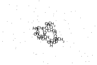 CNc1ccn(-c2ccnc3c2cc([C@H](C)N2CC=C(c4c(C)cc(C(=O)N(C)c5ccc(C6CCN(Cc7ccc8c(c7)n(C)c(=O)n8C7CCC(=O)NC7=O)CC6)cc5)cc4F)CC2)n3C)c(=O)c1